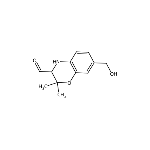 CC1(C)Oc2cc(CO)ccc2NC1C=O